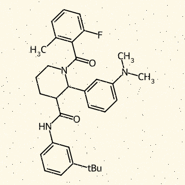 Cc1cccc(F)c1C(=O)N1CCCC(C(=O)Nc2cccc(C(C)(C)C)c2)C1c1cccc(N(C)C)c1